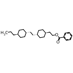 CCC[C@H]1CC[C@H](CC[C@H]2CC[C@H](CCOC(=O)c3ccccc3)CC2)CC1